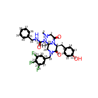 CN1CC(=O)N2[C@@H](Cc3ccc(O)cc3)C(=O)N(Cc3cc(F)c(F)c(F)c3)C[C@@H]2N1C(=O)NCc1ccccc1